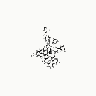 CCCCc1ccc(N(c2ccccc2)c2ccc3c(c2)N(c2ccc(-c4ccccc4)cc2)B2c4cccc5c4N(c4ccccc4C5(c4ccccc4)c4ccccc4)c4cc(-c5c(C)cc(C)cc5C)cc-3c42)cc1